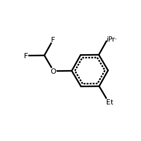 CCc1cc(OC(F)F)cc([C](C)C)c1